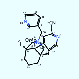 CO[C@]1(c2ccnc(C#N)c2)[C@@H]2CCC[C@H]1CN(Cc1cccnc1)C2